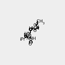 CC=CC(=O)N1CCC1C(=O)Nc1cccc(CNc2nc(NC3CCOCC3)nc3c(C(C)C)cnn23)c1